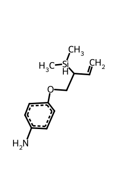 C=CC(COc1ccc(N)cc1)[SiH](C)C